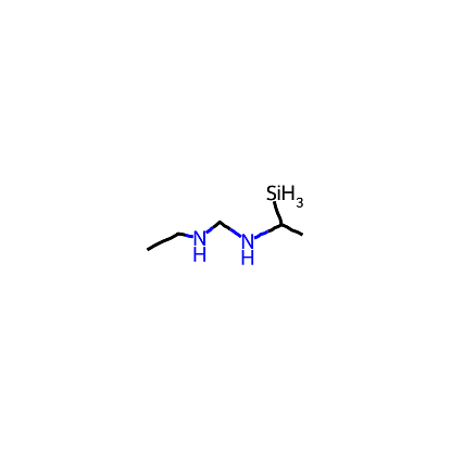 CCNCNC(C)[SiH3]